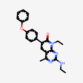 CCNc1nc(C)c2cc(-c3ccc(Oc4ccccc4)cc3)c(=O)n(CC)c2n1